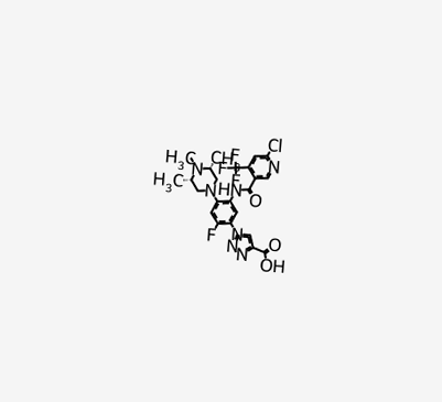 C[C@@H]1CN(c2cc(F)c(-n3cc(C(=O)O)nn3)cc2NC(=O)c2cnc(Cl)cc2C(F)(F)F)C[C@H](C)N1C